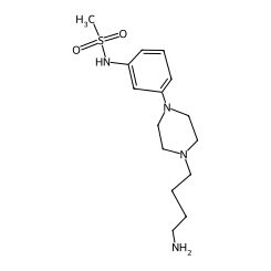 CS(=O)(=O)Nc1cccc(N2CCN(CCCCN)CC2)c1